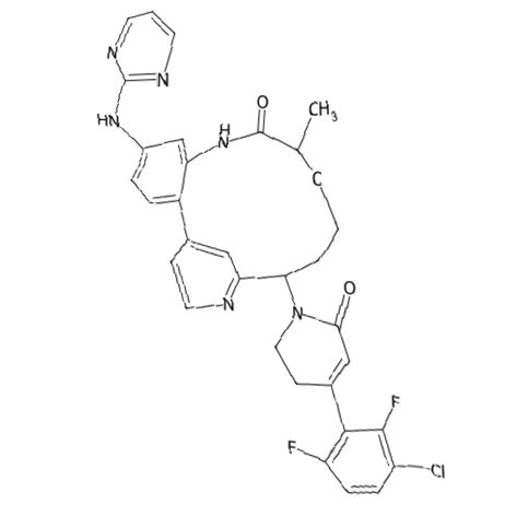 CC1CCCC(N2CCC(c3c(F)ccc(Cl)c3F)=CC2=O)c2cc(ccn2)-c2ccc(Nc3ncccn3)cc2NC1=O